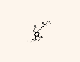 COC(=O)CCCOc1cc([N+](=O)[O-])c(C(O)CN)cc1OC